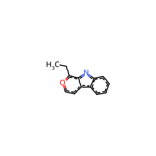 CCc1occc2c3ccccc3nc1-2